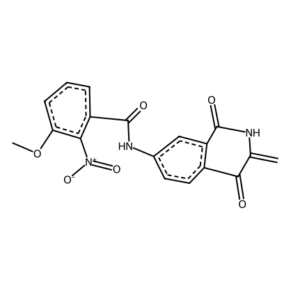 C=C1NC(=O)c2cc(NC(=O)c3cccc(OC)c3[N+](=O)[O-])ccc2C1=O